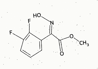 COC(=O)/C(=N/O)c1cccc(F)c1F